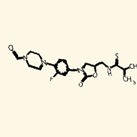 CC(C)C(=S)NCC1CN(c2ccc(N3CCN(C=O)CC3)c(F)c2)C(=O)O1